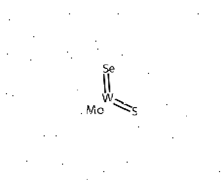 [Mo].[S]=[W]=[Se]